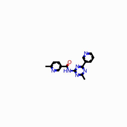 Cc1ccc(C(=O)Nc2nc(C)nc(-c3cccnc3)n2)cn1